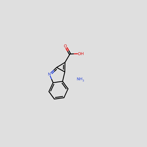 N.O=C(O)c1c2nc3ccccc3c1-2